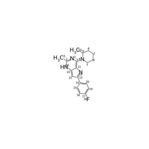 Cc1nc(N2CCCCC2C)c2nc(-c3ccc(F)cc3)cc-2[nH]1